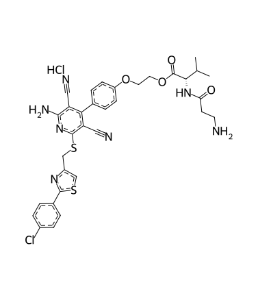 CC(C)[C@H](NC(=O)CCN)C(=O)OCCOc1ccc(-c2c(C#N)c(N)nc(SCc3csc(-c4ccc(Cl)cc4)n3)c2C#N)cc1.Cl